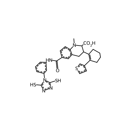 CN1c2ccc(C(=O)Nc3cccc(-n4c(S)nnc4S)c3)cc2CC(C2=C(c3ccsc3)CCCC2)C1C(=O)O